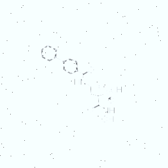 CS(=O)(=O)C(CCNC(=O)c1ccc(-c2ccccc2)cc1)C(=O)NO